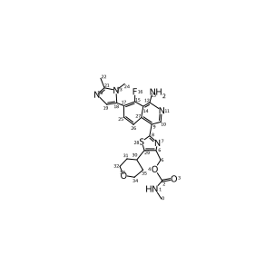 CNC(=O)OCc1nc(-c2cnc(N)c3c(F)c(-c4cnc(C)n4C)ccc23)sc1C1CCOCC1